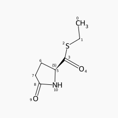 CCSC(=O)[C@@H]1CCC(=O)N1